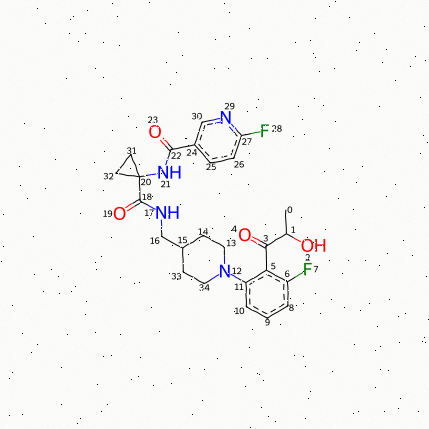 CC(O)C(=O)c1c(F)cccc1N1CCC(CNC(=O)C2(NC(=O)c3ccc(F)nc3)CC2)CC1